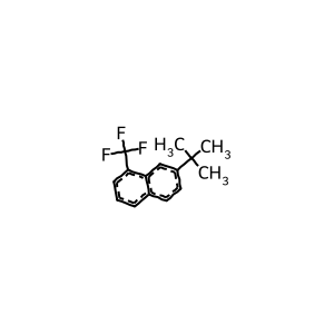 CC(C)(C)c1ccc2cccc(C(F)(F)F)c2c1